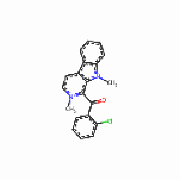 Cn1c2ccccc2c2cc[n+](C)c(C(=O)c3ccccc3Cl)c21